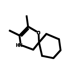 CC1=C(C)OC2(CCCCC2)CN1